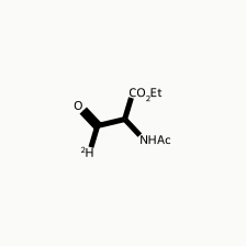 [2H]C(=O)C(NC(C)=O)C(=O)OCC